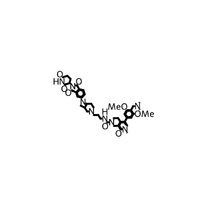 COc1cc(-c2cn(C)c(=O)c3c2CCN(C(=O)NCCCN2CCC4C(C2)CN4c2ccc4c(c2)C(=O)N(C2CCC(=O)NC2=O)C4=O)C3)cc(OC)c1CN(C)C